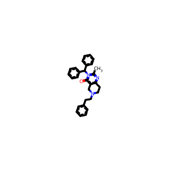 Cc1nc2c(c(=O)n1C(c1ccccc1)c1ccccc1)CN(CCc1ccccc1)CC2